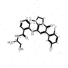 C[C@H](CO)NC(=O)c1cnccc1Nc1cc(-c2cc(Cl)ccc2F)c(=O)n2c1N(C)CC2